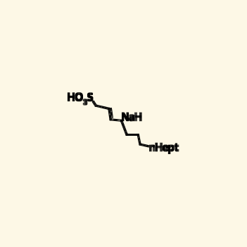 CCCCCCCCCCCC=CCS(=O)(=O)O.[NaH]